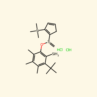 Cl.Cl.[CH2]=[Ti]([O]c1c(C)c(C)c(C)c(C(C)(C)C)c1[SiH3])[C]1=C([Si](C)(C)C)C=CC1